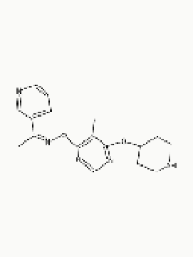 CC(=NOc1ncnc(OC2CCNCC2)c1C)c1cccnc1